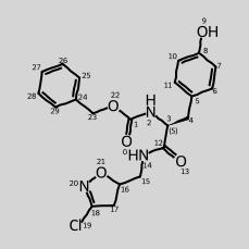 O=C(N[C@@H](Cc1ccc(O)cc1)C(=O)NCC1CC(Cl)=NO1)OCc1ccccc1